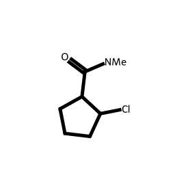 CNC(=O)C1CCCC1Cl